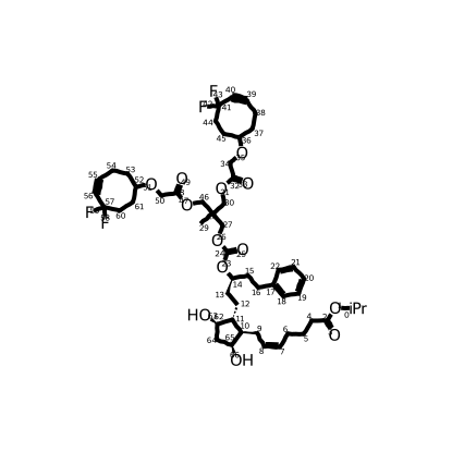 CC(C)OC(=O)CCC/C=C\C[C@@H]1[C@@H](CC[C@H](CCc2ccccc2)OC(=O)OCC(C)(COC(=O)COC2CCC#CC(F)(F)CC2)COC(=O)COC2CCC#CC(F)(F)CC2)[C@H](O)C[C@@H]1O